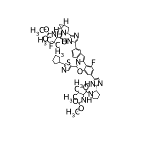 COC(=O)NC(C(=O)N1[C@@H]2C[C@@H]2C[C@H]1c1ncc(-c2ccc3c(c2)cc2n3C(c3cnc(C4CCCC4)s3)Oc3cc(-c4cnc([C@@H]5CCCN5C(=O)[C@@H](NC(=O)OC)C(C)C)[nH]4)cc(F)c3-2)[nH]1)C(C)(C)F